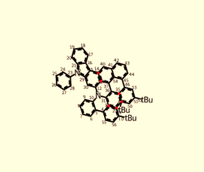 CC(C)(C)c1ccc(-c2ccccc2N(c2ccc3c4ccccc4n(-c4ccccc4)c3c2)c2ccccc2-c2cccc3cccc(-c4cc(C(C)(C)C)cc(C(C)(C)C)c4)c23)cc1